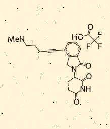 CNCCCC#Cc1cccc2c1CN(C1CCC(=O)NC1=O)C2=O.O=C(O)C(F)(F)F